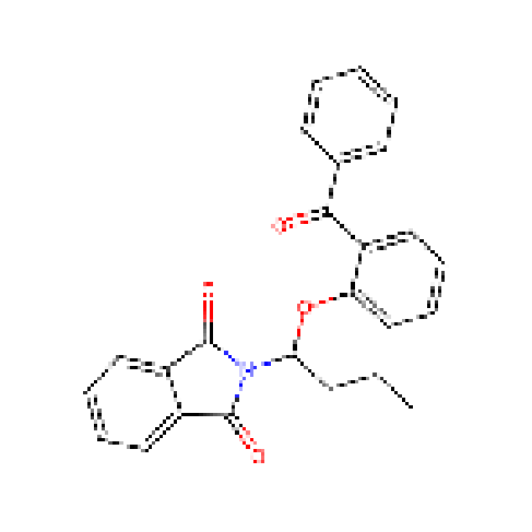 CCCC(Oc1ccccc1C(=O)c1ccccc1)N1C(=O)c2ccccc2C1=O